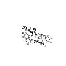 CC(C)CN(C[C@H](CCc1ccccc1)C(N)=O)C(=O)N[C@@H](Cc1ccc2ccccc2c1)C(=O)O